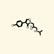 CC(C)NCC(O)Cn1occ(-c2ccc(Cl)cc2)c1=O